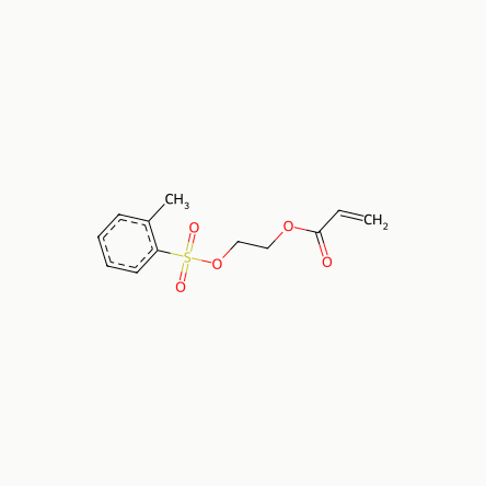 C=CC(=O)OCCOS(=O)(=O)c1ccccc1C